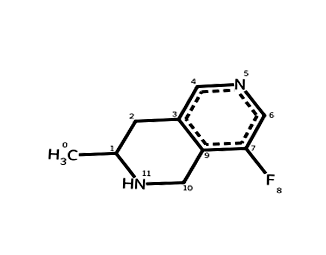 CC1Cc2cncc(F)c2CN1